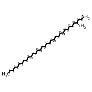 CCCCCCCCCCCCCCCCCCCCCCCCCCCCCCC(N)CCN